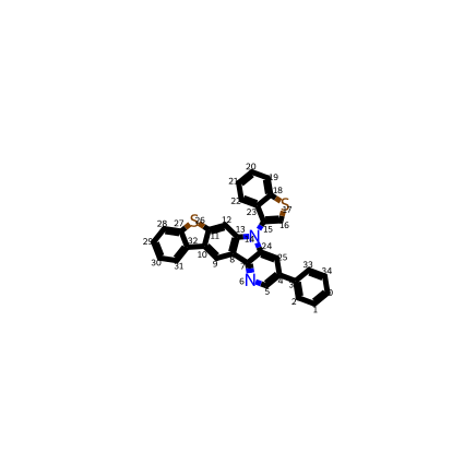 c1ccc(-c2cnc3c4cc5c(cc4n(-c4csc6ccccc46)c3c2)sc2ccccc25)cc1